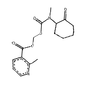 Cc1ncccc1C(=O)OCOC(=O)N(C)C1CCCCC1=O